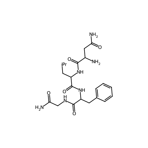 CC(C)CC(NC(=O)C(N)CC(N)=O)C(=O)NC(Cc1ccccc1)C(=O)NCC(N)=O